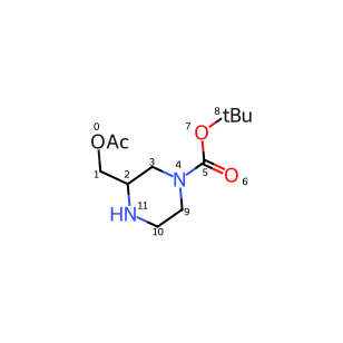 CC(=O)OCC1CN(C(=O)OC(C)(C)C)CCN1